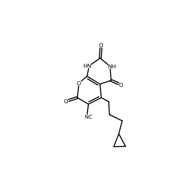 [C-]#[N+]c1c(CCCC2CC2)c2c(=O)[nH]c(=O)[nH]c2oc1=O